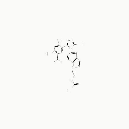 CC(C)c1cc(-c2nnc(O)n2-c2ccc3c(ccn3CCNC(=O)O)c2)c(O)cc1O